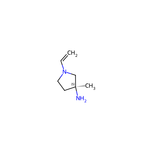 C=CN1CC[C@](C)(N)C1